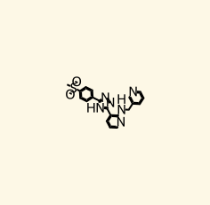 CS(=O)(=O)c1ccc(-c2nnc(-c3cccnc3NCc3cccnc3)[nH]2)cc1